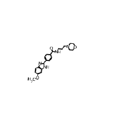 COc1ccc2nc(-c3ccc(C(=O)NCCCN4CCOCC4)cc3)[nH]c2c1